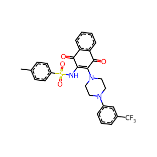 Cc1ccc(S(=O)(=O)NC2=C(N3CCN(c4cccc(C(F)(F)F)c4)CC3)C(=O)c3ccccc3C2=O)cc1